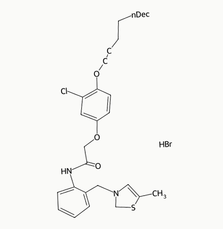 Br.CCCCCCCCCCCCCCOc1ccc(OCC(=O)Nc2ccccc2CN2C=C(C)SC2)cc1Cl